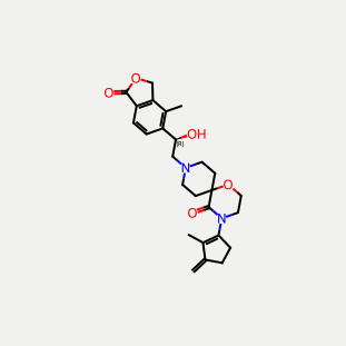 C=C1CCC(N2CCOC3(CCN(C[C@H](O)c4ccc5c(c4C)COC5=O)CC3)C2=O)=C1C